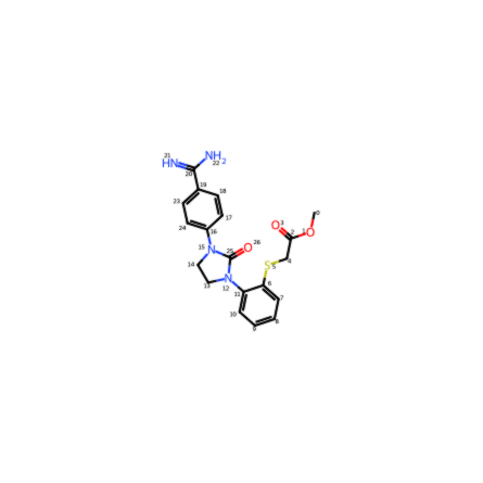 COC(=O)CSc1ccccc1N1CCN(c2ccc(C(=N)N)cc2)C1=O